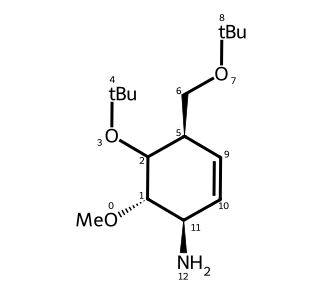 CO[C@@H]1C(OC(C)(C)C)[C@@H](COC(C)(C)C)C=C[C@H]1N